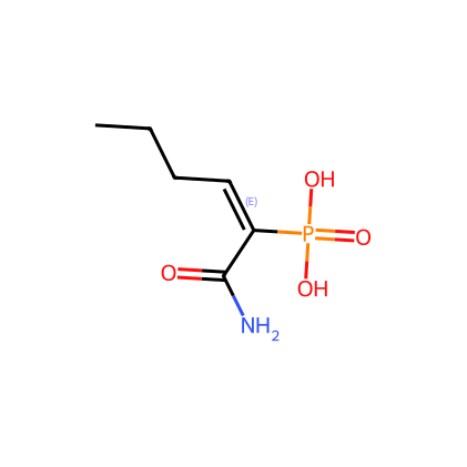 CCC/C=C(\C(N)=O)P(=O)(O)O